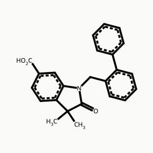 CC1(C)C(=O)N(Cc2ccccc2-c2ccccc2)c2cc(C(=O)O)ccc21